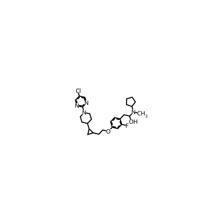 CN(C(O)Cc1ccc(OCCC2CC2C2CCN(c3ncc(Cl)cn3)CC2)cc1F)C1CCCC1